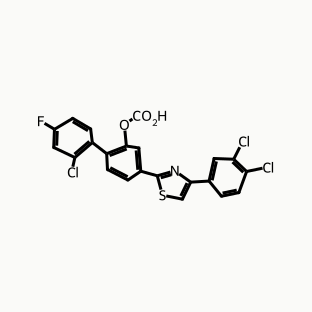 O=C(O)Oc1cc(-c2nc(-c3ccc(Cl)c(Cl)c3)cs2)ccc1-c1ccc(F)cc1Cl